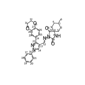 CC1CCC2(CC1)NC(=O)N(/N=C/c1cn(-c3ccccc3)nc1-c1ccc3c(c1)OCCO3)C2=O